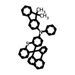 CC1(C)c2ccccc2-c2ccc(N(c3ccccc3)c3ccc4c(c3)Sc3ccccc3C43c4ccccc4-c4cccc5cccc3c45)cc21